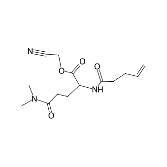 C=CCCC(=O)NC(CCC(=O)N(C)C)C(=O)OCC#N